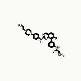 C=CC(=O)Nc1cccc(-c2c(F)ccc3cnc(Nc4ccc(N5CCN(CCO)CC5)cc4)nc23)c1